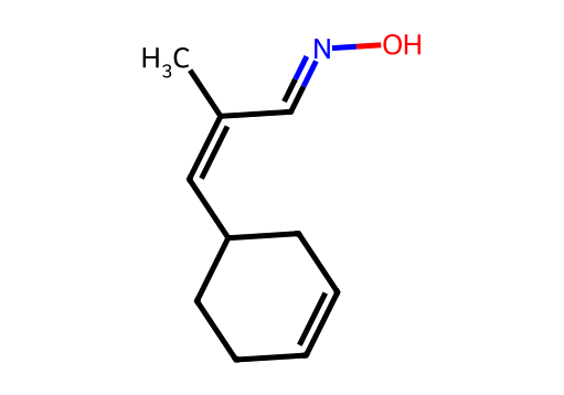 CC(C=NO)=CC1CC=CCC1